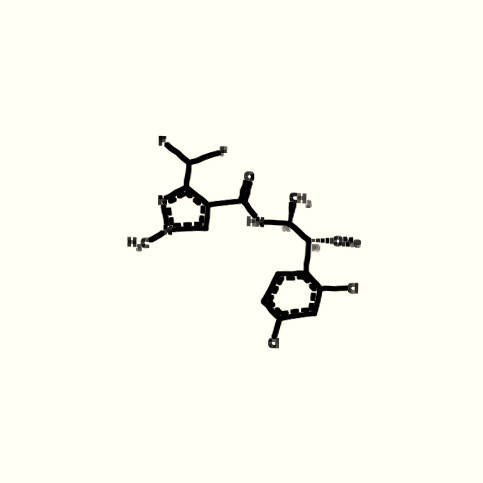 CO[C@H](c1ccc(Cl)cc1Cl)[C@H](C)NC(=O)c1cn(C)nc1C(F)F